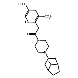 CN1C2CCC1CC(N1CCN(C(=O)CC3=C(C(=O)O)CC(C(=O)O)=CN3)CC1)C2